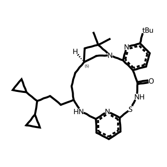 CC(C)(C)c1ccc2c(n1)N1C[C@@H](CCC(CCC(C3CC3)C3CC3)Nc3cccc(n3)SNC2=O)CC1(C)C